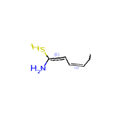 C/C=C\C=C(/N)S